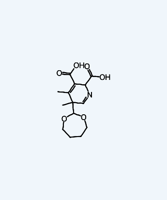 CC1=C(C(=O)O)C(C(=O)O)N=CC1(C)C1OCCCCO1